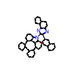 c1ccc2cc(-c3nc4ccc5ccccc5c4nc3-n3c4cccc5c6ccccc6c6ccccc6c6cccc3c6c54)ccc2c1